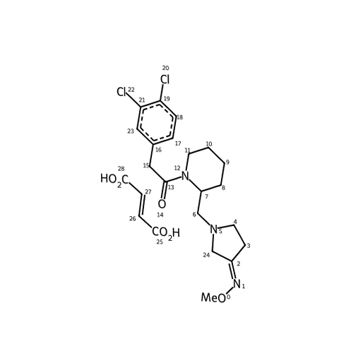 CO/N=C1/CCN(CC2CCCCN2C(=O)Cc2ccc(Cl)c(Cl)c2)C1.O=C(O)/C=C/C(=O)O